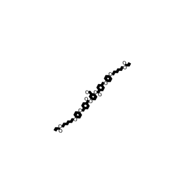 C=CC(=O)OCCCCCCOc1ccc(OCC2CCC(C(=O)Oc3ccc(OC(=O)C4CCC(COc5ccc(OCCCCCCOC(=O)C=C)cc5)CC4)c(C=O)c3)CC2)cc1